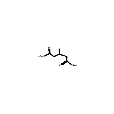 CNC(=O)CC(C)CC(=O)NC